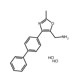 Cc1nc(-c2ccc(-c3ccccc3)cc2)c(CN)o1.Cl.Cl